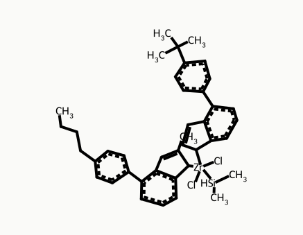 CCCCc1ccc(-c2cccc3c2C=C(C)[CH]3[Zr]([Cl])([Cl])([CH]2C=Cc3c(-c4ccc(C(C)(C)C)cc4)cccc32)[SiH](C)C)cc1